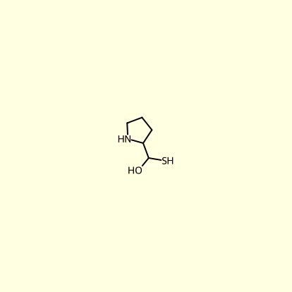 OC(S)C1CCCN1